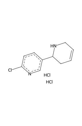 Cl.Cl.Clc1ccc(C2CC=CCN2)cn1